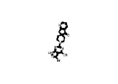 N#Cc1nc(N2CCC3(CC2)Cc2ncccc2C3=O)nc2[nH]nc(Br)c12